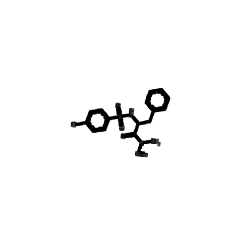 CON(C)C(=O)C(Cc1ccccc1)NS(=O)(=O)c1ccc(Cl)cc1